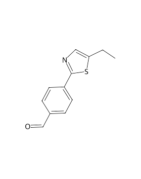 CCc1cnc(-c2ccc(C=O)cc2)s1